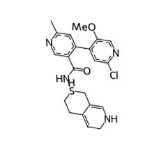 COc1cnc(Cl)cc1-c1cc(C)ncc1C(=O)N[SH]1CCC2=CCNC=C2C1